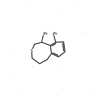 CC(C)c1cccc2c1C(C(C)C)CSCCC2